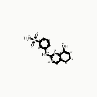 NS(=O)(=O)c1cccc(Nc2ncc3c(n2)C(O)=CCC3)c1